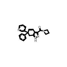 O=C(c1n[nH]c2c1C=CC(c1ccccc1)(c1cccnc1)C2)N1CCC1